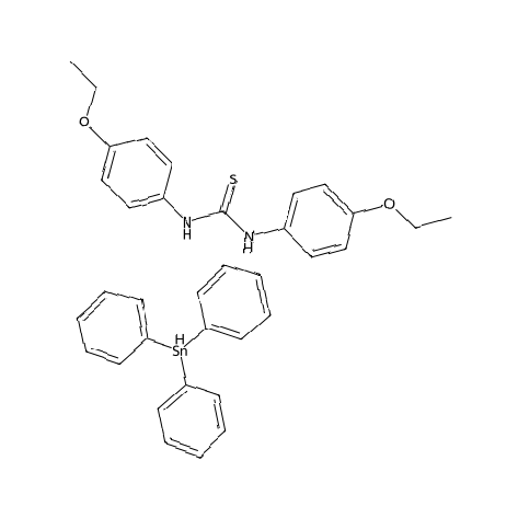 CCOc1ccc(NC(=S)Nc2ccc(OCC)cc2)cc1.c1cc[c]([SnH]([c]2ccccc2)[c]2ccccc2)cc1